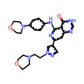 O=c1[nH]cnc2cc(-c3cnn(CCN4CCOCC4)c3)nc(Nc3ccc(N4CCOCC4)cc3)c12